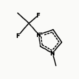 Cn1cc[n+](C(C)(F)F)c1